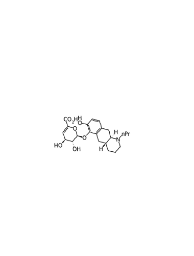 CCCN1CCC[C@@H]2Cc3c(ccc(O)c3O[C@@H]3OC(C(=O)O)=C[C@H](O)[C@H]3O)C[C@H]21